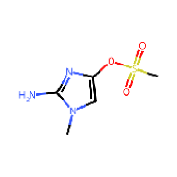 Cn1cc(OS(C)(=O)=O)nc1N